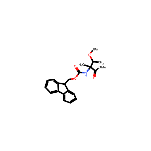 COC(=O)C(C)(NC(=O)OCC1c2ccccc2-c2ccccc21)C(C)OC(C)(C)C